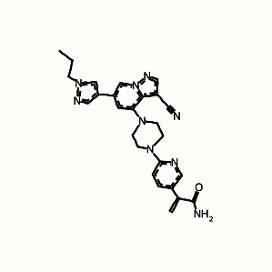 C=C(C(N)=O)c1ccc(N2CCN(c3cc(-c4cnn(CCC)c4)cn4ncc(C#N)c34)CC2)nc1